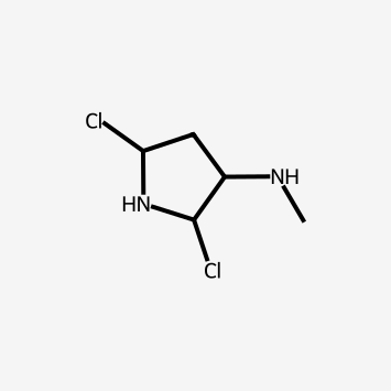 CNC1CC(Cl)NC1Cl